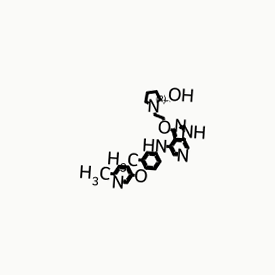 Cc1ccc(Oc2ccc(Nc3cncc4[nH]nc(OCCN5CCC[C@@H]5CO)c34)cc2C)cn1